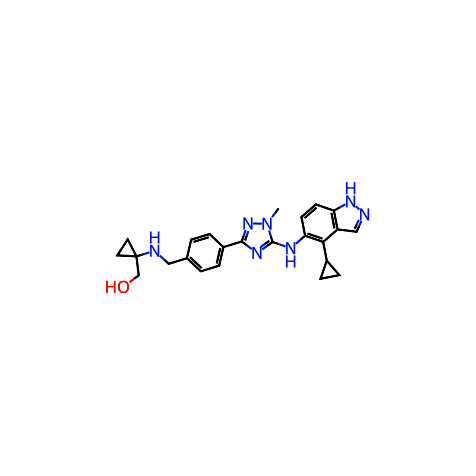 Cn1nc(-c2ccc(CNC3(CO)CC3)cc2)nc1Nc1ccc2[nH]ncc2c1C1CC1